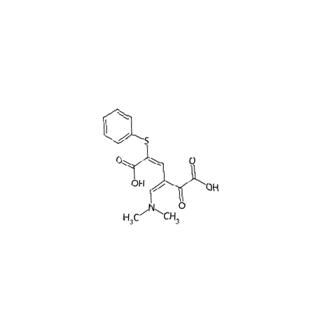 CN(C)C=C(C=C(Sc1ccccc1)C(=O)O)C(=O)C(=O)O